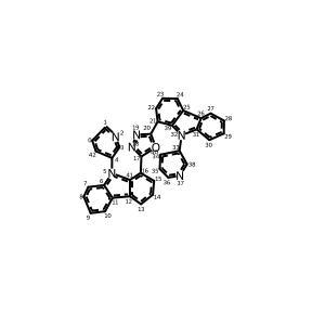 c1cncc(-n2c3ccccc3c3cccc(-c4nnc(-c5cccc6c7ccccc7n(-c7cccnc7)c56)o4)c32)c1